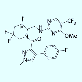 COc1nc(NCC2[C@H](C)CC(F)(F)CN2C(=O)c2nn(C)cc2-c2ccc(F)cc2)ncc1C(F)(F)F